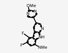 CNc1cc(F)c(F)c2c1[nH]c1ncc(-c3cnc(OC)nc3)cc12